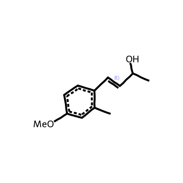 COc1ccc(/C=C/C(C)O)c(C)c1